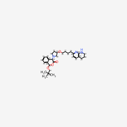 CC(C)(C)COC1OC(=O)C(N2CCC(OCCCCc3ccc4c(n3)NCCC4)C2)c2ccccc21